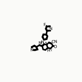 C[C@H]1C(=O)C(C#N)=C[C@@]2(C)c3c(c(-c4ccncc4)nn3-c3ccc(-c4cncc(F)c4)cc3)CC[C@H]12